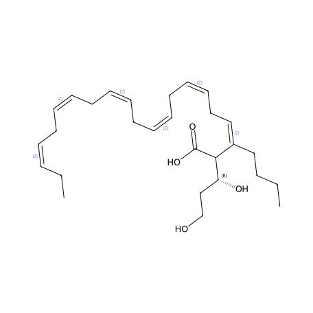 CC/C=C\C/C=C\C/C=C\C/C=C\C/C=C\C/C=C(/CCCC)C(C(=O)O)[C@H](O)CCO